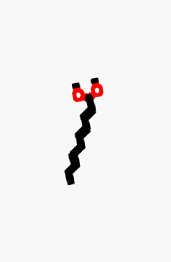 CCC=CCC=CC=CC(OC)OC